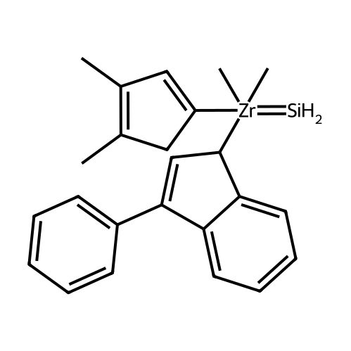 CC1=C(C)C[C]([Zr]([CH3])([CH3])(=[SiH2])[CH]2C=C(c3ccccc3)c3ccccc32)=C1